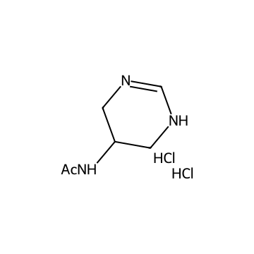 CC(=O)NC1CN=CNC1.Cl.Cl